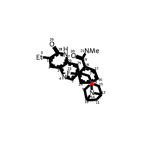 CCc1cc2ncc(CN3CC4CC(C3)N4c3ccc(C(=O)NC)c(F)c3)cc2[nH]c1=O